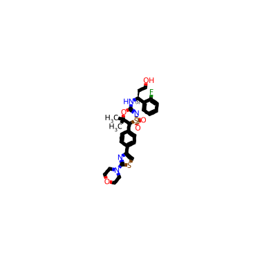 CC1(C)OC(N[C@@H](CCO)c2ccccc2F)=NS(=O)(=O)C1c1ccc(-c2csc(N3CCOCC3)n2)cc1